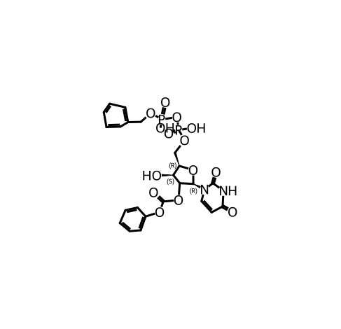 O=C(Oc1ccccc1)OC1[C@@H](O)[C@@H](COP(=O)(O)OP(=O)(O)OCc2ccccc2)O[C@H]1n1ccc(=O)[nH]c1=O